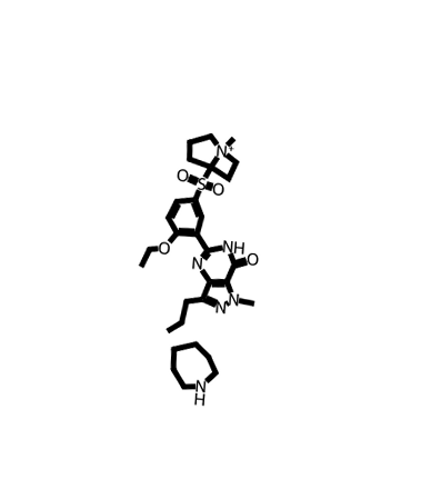 C1CCCNCC1.CCCc1nn(C)c2c(=O)[nH]c(-c3cc(S(=O)(=O)C45CCC[N+]4(C)CC5)ccc3OCC)nc12